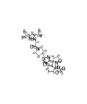 CS(=O)(=O)Oc1cccc(Cl)c1C1(c2csc(C3CCN(C(=O)Cn4nc(C(F)F)cc4C(F)F)CC3)n2)CCON1